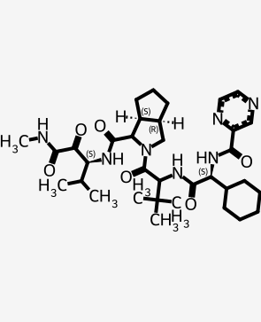 CNC(=O)C(=O)[C@@H](NC(=O)C1[C@H]2CCC[C@H]2CN1C(=O)C(NC(=O)[C@@H](NC(=O)c1cnccn1)C1CCCCC1)C(C)(C)C)C(C)C